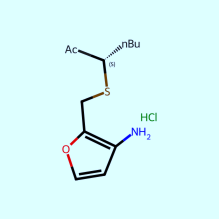 CCCC[C@H](SCc1occc1N)C(C)=O.Cl